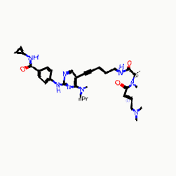 CCCN(C)c1nc(Nc2ccc(C(=O)NC3CC3)cc2)ncc1C#CCCCNC(=O)[C@H](C)N(C)C(=O)/C=C/CN(C)C